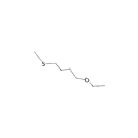 CCOC[CH]CCSC